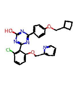 Oc1nc(-c2ccc(OCC3CCC3)cc2)nc(-c2c(Cl)cccc2OCc2ccccn2)n1